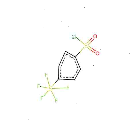 O=S(=O)(Cl)c1ccc(S(F)(F)(F)(F)F)cc1